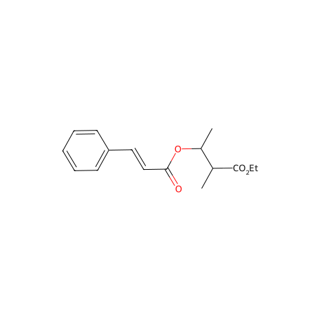 CCOC(=O)C(C)C(C)OC(=O)C=Cc1ccccc1